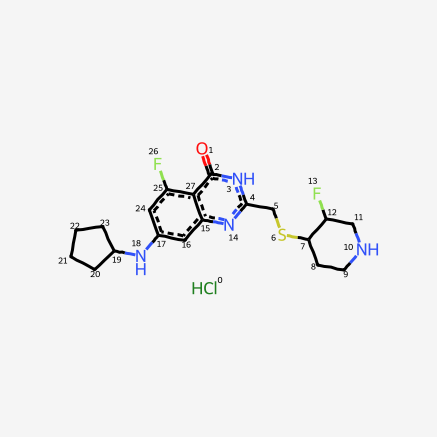 Cl.O=c1[nH]c(CSC2CCNCC2F)nc2cc(NC3CCCC3)cc(F)c12